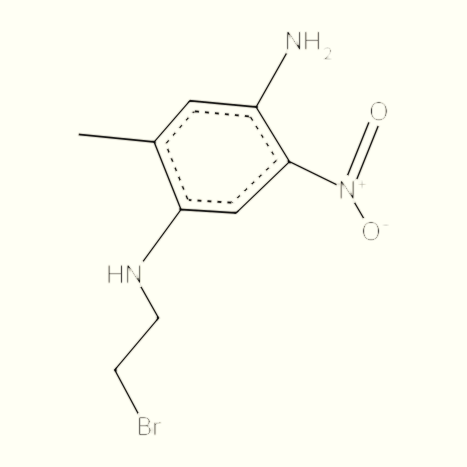 Cc1cc(N)c([N+](=O)[O-])cc1NCCBr